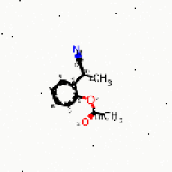 CC(=O)Oc1ccccc1[C@H](C)C#N